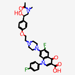 CC(=O)N(C)C[C@H](O)c1ccc(OCCN2CCN(c3cc4c(cc3F)c(=O)c(C(=O)O)cn4-c3ccc(F)cc3)CC2)cc1